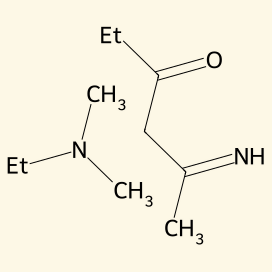 CCC(=O)CC(C)=N.CCN(C)C